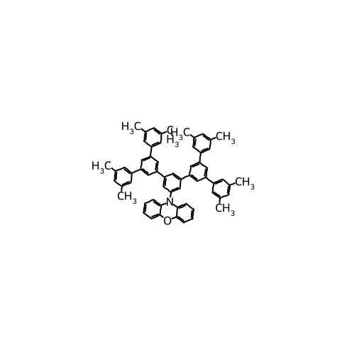 Cc1cc(C)cc(-c2cc(-c3cc(C)cc(C)c3)cc(-c3cc(-c4cc(-c5cc(C)cc(C)c5)cc(-c5cc(C)cc(C)c5)c4)cc(N4c5ccccc5Oc5ccccc54)c3)c2)c1